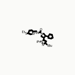 CCSc1ccc(CNC(=O)N2CC(c3ccccc3)C(c3cc(C(C)(C)C)nn3C(C)C)C2)nc1